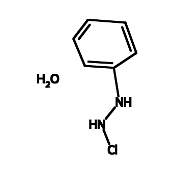 ClNNc1ccccc1.O